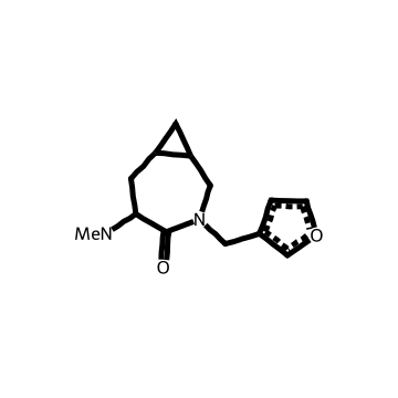 CNC1CC2CC2CN(Cc2ccoc2)C1=O